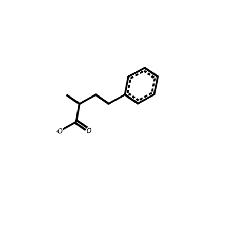 CC(CCc1ccccc1)C([O])=O